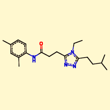 CCn1c(CCC(=O)Nc2ccc(C)cc2C)nnc1CCC(C)C